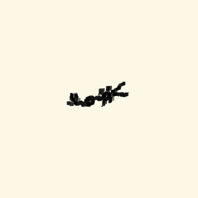 CCCCN(CCCC)c1c(F)c(F)c(C=Cc2cc[n+](CCC[N+](CC)(CC)CC)cc2)c(F)c1F